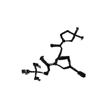 CC(C)(C)OC(=O)N1CC(C#N)CC1C(=O)N1CCC(F)(F)C1